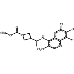 CC(Nc1c(N)cnc2c(F)c(Br)c(Cl)cc12)C1CN(C(=O)OC(C)(C)C)C1